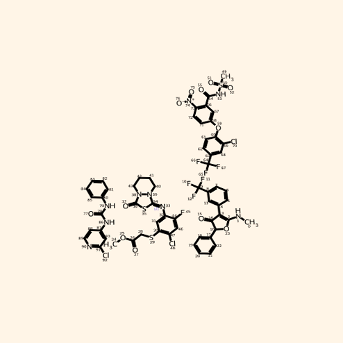 CNC1=C(c2cccc(C(F)(F)F)c2)C(=O)C(c2ccccc2)O1.COC(=O)CSc1cc(/N=c2\sc(=O)n3n2CCCC3)c(F)cc1Cl.CS(=O)(=O)NC(=O)c1cc(Oc2ccc(C(F)(F)F)cc2Cl)ccc1[N+](=O)[O-].O=C(Nc1ccccc1)Nc1ccnc(Cl)c1